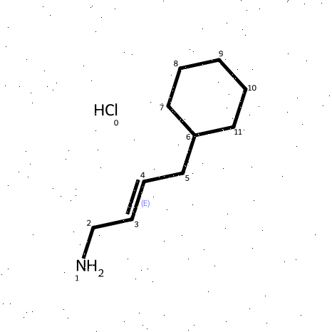 Cl.NC/C=C/CC1CCCCC1